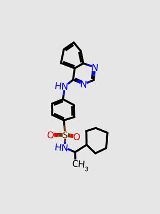 CC(NS(=O)(=O)c1ccc(Nc2ncnc3ccccc23)cc1)C1CCCCC1